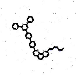 C\C=C/C=C\C=C\c1ccc2ccc3ccc(-c4ccc(-c5ccc(-c6cc(-c7ccccc7)nc(-c7ccccc7)n6)cc5)cc4)nc3c2n1